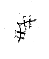 CB(C(F)(F)C(F)(F)F)C(F)(F)C(F)(F)F